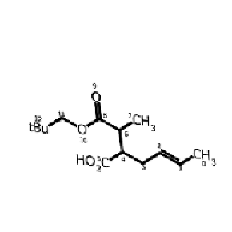 CC=CCC(C(=O)O)C(C)C(=O)OCC(C)(C)C